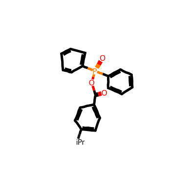 CC(C)c1ccc(C(=O)OP(=O)(c2ccccc2)c2ccccc2)cc1